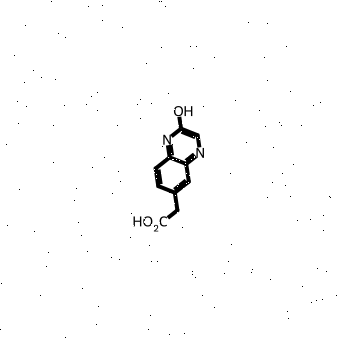 O=C(O)Cc1ccc2nc(O)cnc2c1